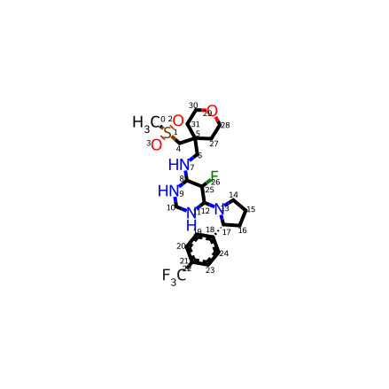 CS(=O)(=O)CC1(CNC2NCNC(N3CCC[C@@H]3c3ccc(C(F)(F)F)cc3)C2F)CCOCC1